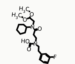 COC(CN(C(=O)CCN(CCc1cccc(F)c1)C(=O)O)C1CCCCC1)OC